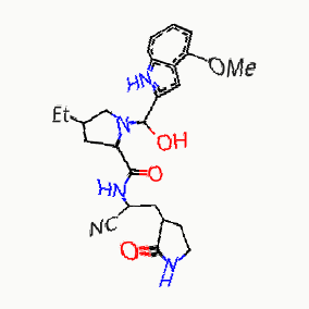 CCC1CC(C(=O)NC(C#N)CC2CCNC2=O)N(C(O)c2cc3c(OC)cccc3[nH]2)C1